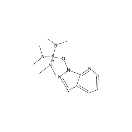 CN(C)[PH](On1nnc2cccnc21)(N(C)C)N(C)C